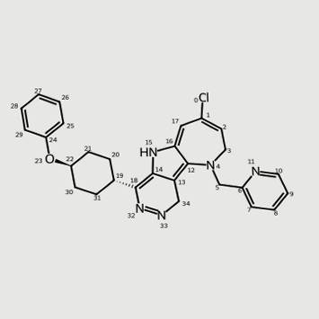 ClC1=CCN(Cc2ccccn2)c2c3c([nH]c2=C1)=C([C@H]1CC[C@H](Oc2ccccc2)CC1)N=NC3